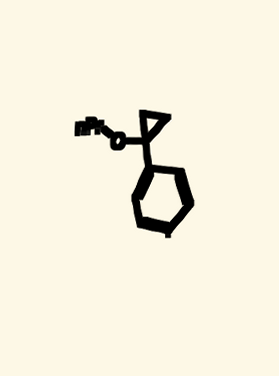 CCCOC1(c2cc[c]cc2)CC1